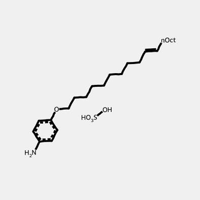 CCCCCCCCC=CCCCCCCCCCOc1ccc(N)cc1.O=S(=O)(O)O